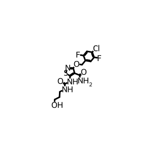 NC(=O)c1c(OCc2cc(F)c(Cl)cc2F)nsc1NC(=O)NCCCO